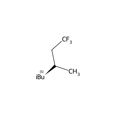 CC[C@H](C)C(C)CC(F)(F)F